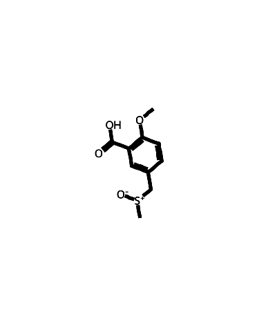 COc1ccc(C[S+](C)[O-])cc1C(=O)O